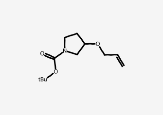 C=CCOC1CCN(C(=O)OC(C)(C)C)C1